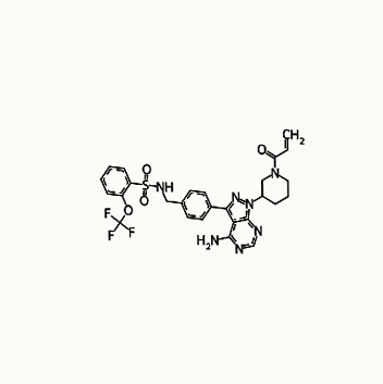 C=CC(=O)N1CCCC(n2nc(-c3ccc(CNS(=O)(=O)c4ccccc4OC(F)(F)F)cc3)c3c(N)ncnc32)C1